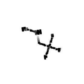 CC(C)NCC(F)(F)F